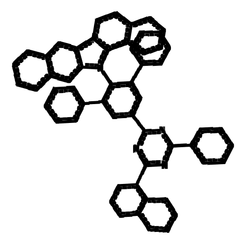 c1ccc(-c2nc(-c3cc(-c4ccccc4)c(-n4c5cc6ccccc6cc5c5ccc6ccccc6c54)c(-c4ccccc4)c3)nc(-c3cccc4ccccc34)n2)cc1